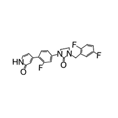 O=C1N(Cc2cc(F)ccc2F)CCN1c1ccc(-c2cc[nH]c(=O)c2)c(F)c1